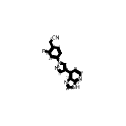 N#CCc1ccc(-n2cc(-c3ccnc4[nH]cnc34)cn2)cc1F